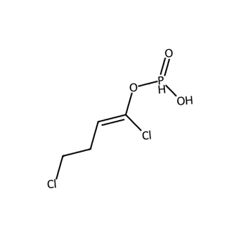 O=[PH](O)OC(Cl)=CCCCl